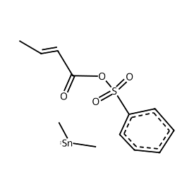 CC=CC(=O)OS(=O)(=O)c1ccccc1.[CH3][Sn][CH3]